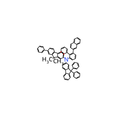 CC1(C)c2cc(-c3ccccc3)ccc2-c2ccc(N(c3ccc4c(c3)C(c3ccccc3)(c3ccccc3)c3ccccc3-4)c3cccc(-c4ccc5ccccc5c4)c3-c3ccccc3)cc21